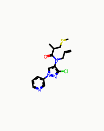 C=CCN(C(=O)C(C)CSC)c1cn(-c2cccnc2)nc1Cl